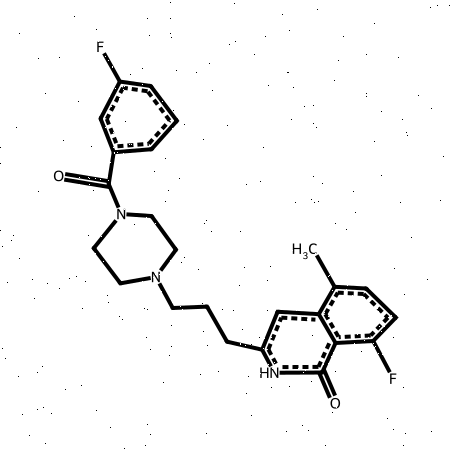 Cc1ccc(F)c2c(=O)[nH]c(CCCN3CCN(C(=O)c4cccc(F)c4)CC3)cc12